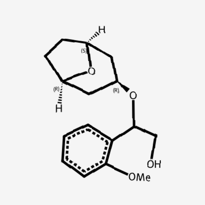 COc1ccccc1C(CO)O[C@H]1C[C@H]2CC[C@@H](C1)O2